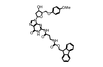 COc1ccc(OC[C@H]2O[C@@H](n3cnc4c(=O)[nH]c(NC(=O)CCNC(=O)OCC5c6ccccc6-c6ccccc65)nc43)C[C@H]2O)cc1